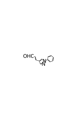 O=CC=Cc1cnn(-c2ccccc2)c1